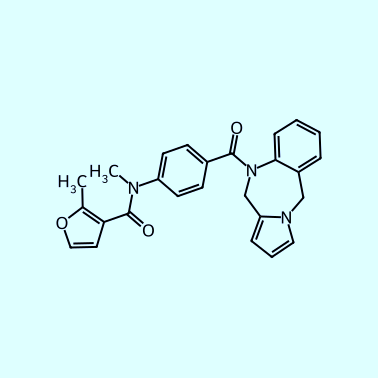 Cc1occc1C(=O)N(C)c1ccc(C(=O)N2Cc3cccn3Cc3ccccc32)cc1